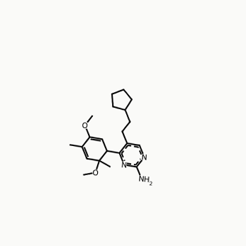 COC1=CC(c2nc(N)ncc2CCC2CCCC2)C(C)(OC)C=C1C